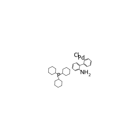 C1CCC(P(C2CCCCC2)C2CCCCC2)CC1.Nc1ccccc1-c1cccc[c]1[Pd][Cl]